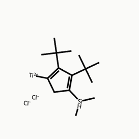 C[SiH](C)C1=C(C(C)(C)C)C(C(C)(C)C)=[C]([Ti+2])C1.[Cl-].[Cl-]